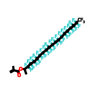 C=C(C)C(=O)OC(C)C(F)(F)C(F)(F)C(F)(F)C(F)(F)C(F)(F)C(F)(F)C(F)(F)C(F)(F)C(F)(F)C(F)(F)C(F)(F)C(F)(F)C(F)(F)C(F)(F)C(F)(F)C(F)(F)C(F)(F)C(F)(F)F